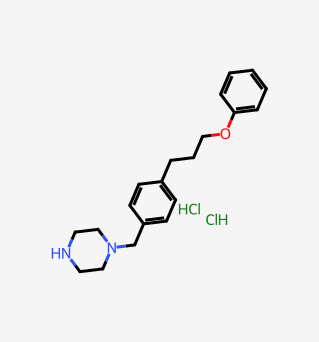 Cl.Cl.c1ccc(OCCCc2ccc(CN3CCNCC3)cc2)cc1